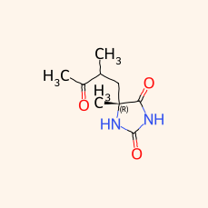 CC(=O)C(C)C[C@@]1(C)NC(=O)NC1=O